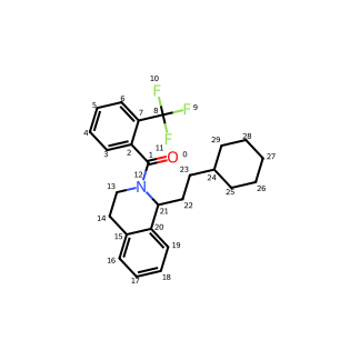 O=C(c1ccccc1C(F)(F)F)N1CCc2ccccc2C1CCC1CCCCC1